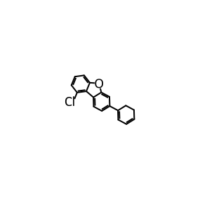 Clc1cccc2oc3cc(C4=CC=CCC4)ccc3c12